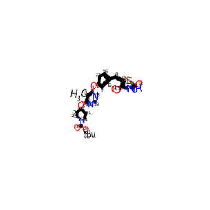 Cc1c(Oc2ccc(C=C3SC(=O)NC3=O)cc2)ncnc1OC1CCN(C(=O)OC(C)(C)C)CC1